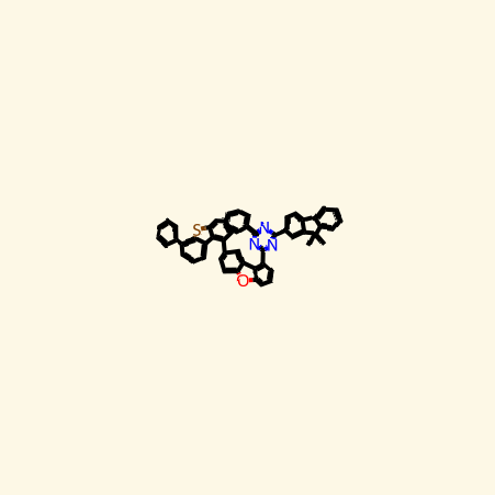 CC1(C)c2ccccc2-c2ccc(-c3nc(-c4ccccc4)nc(-c4cccc5oc6ccc(-c7cccc8sc9c(-c%10ccccc%10)cccc9c78)cc6c45)n3)cc21